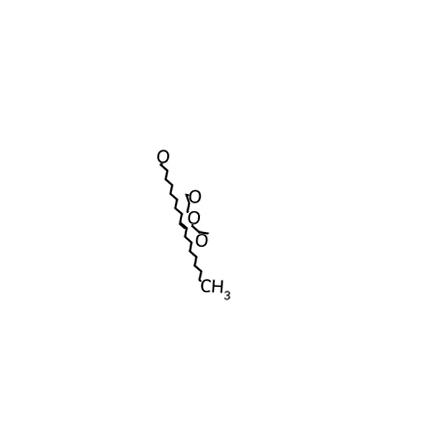 C(OCC1CO1)C1CO1.CCCCCCCCC=CCCCCCCCC=O